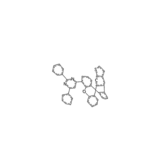 c1ccc(-c2cc(-c3cccc4c3Oc3ccccc3C43c4ccccc4-c4cc5ccsc5cc43)nc(-c3ccccc3)n2)cc1